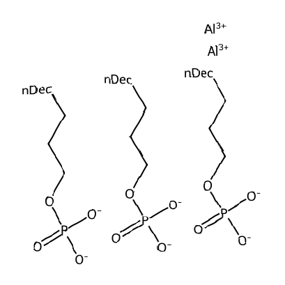 CCCCCCCCCCCCCOP(=O)([O-])[O-].CCCCCCCCCCCCCOP(=O)([O-])[O-].CCCCCCCCCCCCCOP(=O)([O-])[O-].[Al+3].[Al+3]